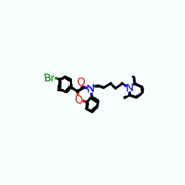 CC1CCCC(C)N1CCCCCN1C(=O)C(c2ccc(Br)cc2)Oc2ccccc21